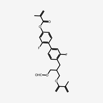 C=C(C)C(=C)OCC(COC=O)Cc1ccc(-c2ccc(OC(=O)C(=C)C)cc2F)cc1F